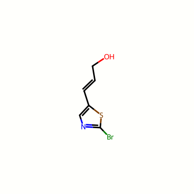 OC/C=C/c1cnc(Br)s1